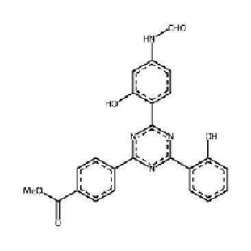 COC(=O)c1ccc(-c2nc(-c3ccccc3O)nc(-c3ccc(NC=O)cc3O)n2)cc1